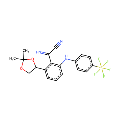 CC1(C)OCC(c2cccc(Nc3ccc(S(F)(F)(F)(F)F)cc3)c2C(=N)C#N)O1